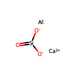 O=[Si]([O-])[O-].[Al].[Ca+2]